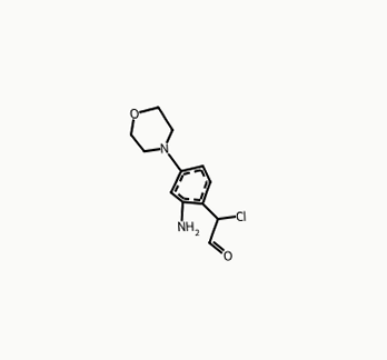 Nc1cc(N2CCOCC2)ccc1C(Cl)C=O